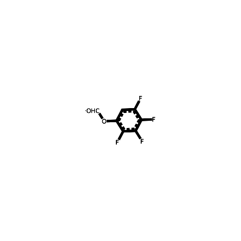 O=[C]Oc1cc(F)c(F)c(F)c1F